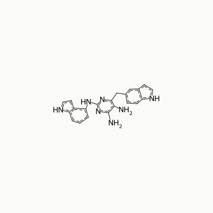 Nc1nc(Nc2cccc3[nH]ccc23)nc(Cc2ccc3[nH]ccc3c2)c1N